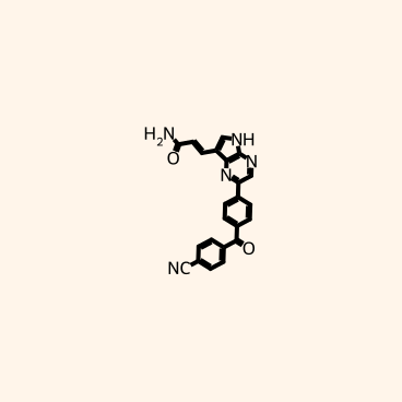 N#Cc1ccc(C(=O)c2ccc(-c3cnc4[nH]cc(C=CC(N)=O)c4n3)cc2)cc1